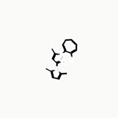 Cc1cc(-n2c(C)ccc2C)nn1C1=CCC=CC=C1F